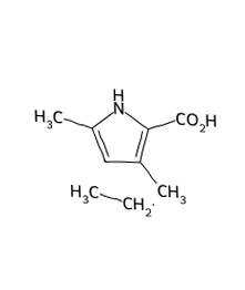 Cc1cc(C)c(C(=O)O)[nH]1.[CH2]C